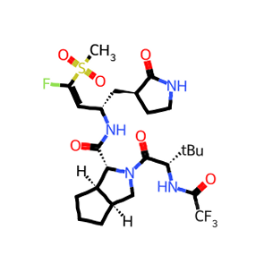 CC(C)(C)[C@H](NC(=O)C(F)(F)F)C(=O)N1C[C@H]2CCC[C@H]2[C@@H]1C(=O)N[C@H](/C=C(/F)S(C)(=O)=O)C[C@@H]1CCNC1=O